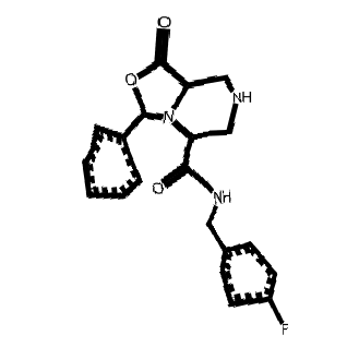 O=C(NCc1ccc(F)cc1)C1CNCC2C(=O)OC(c3ccccc3)N12